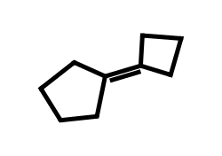 C1CCC(=C2CCC2)C1